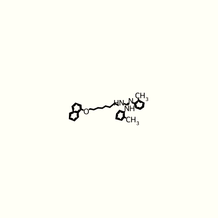 Cc1ccccc1/N=C(/NCCCCCCCCOc1cccc2ccccc12)Nc1ccccc1C